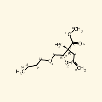 C=CC[C@@](C)(C(=O)OC)[C@H](O)COCCCC